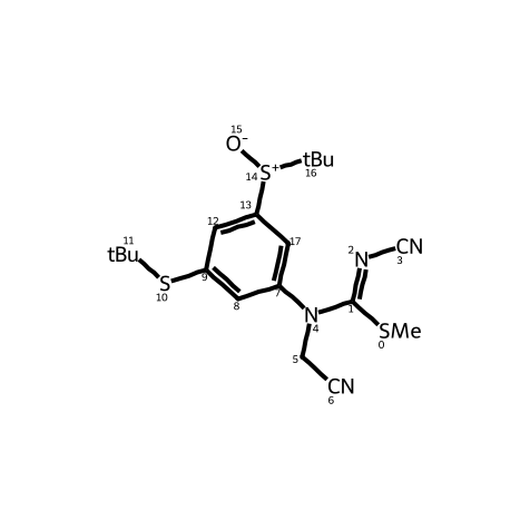 CSC(=NC#N)N(CC#N)c1cc(SC(C)(C)C)cc([S+]([O-])C(C)(C)C)c1